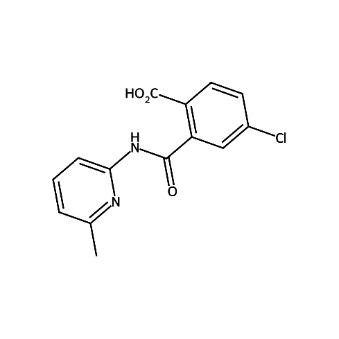 Cc1cccc(NC(=O)c2cc(Cl)ccc2C(=O)O)n1